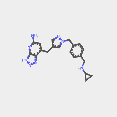 Nc1cc(Cc2cnn(Cc3ccc(CNC4CC4)cc3)c2)c2nn[nH]c2n1